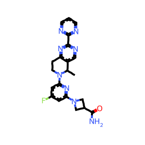 CC1c2cnc(-c3ncccn3)nc2CCN1c1cc(F)cc(N2CC(C(N)=O)C2)n1